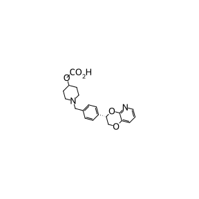 O=C(O)OC1CCN(Cc2ccc([C@H]3COc4cccnc4O3)cc2)CC1